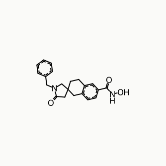 O=C(NO)c1ccc2c(c1)CCC1(CC(=O)N(Cc3ccccc3)C1)C2